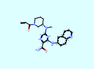 C=CC(=O)N1CCC[C@@H](N(C)c2cnc(C(N)=O)c(Nc3ccc4ncccc4c3)n2)C1